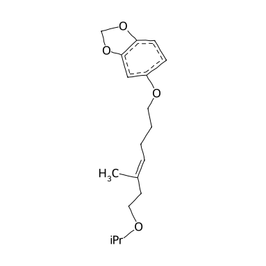 C/C(=C\CCCOc1ccc2c(c1)OCO2)CCOC(C)C